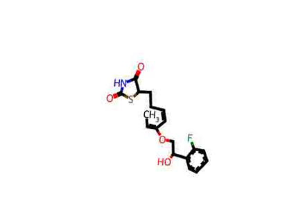 C/C=C(\C=C/CCC1SC(=O)NC1=O)OCC(O)c1ccccc1F